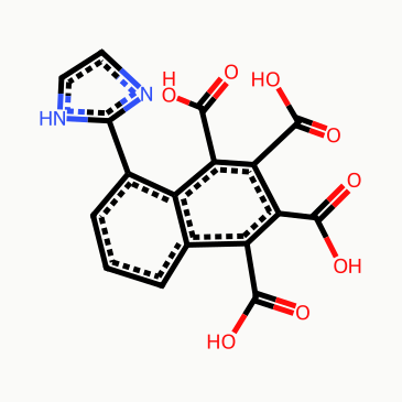 O=C(O)c1c(C(=O)O)c(C(=O)O)c2c(-c3ncc[nH]3)cccc2c1C(=O)O